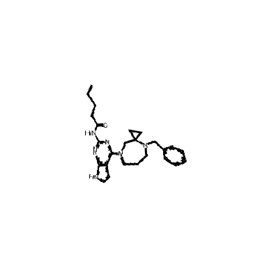 CCCCC(=O)Nc1nc(N2CCCN(Cc3ccccc3)C3(CC3)C2)c2cc[nH]c2n1